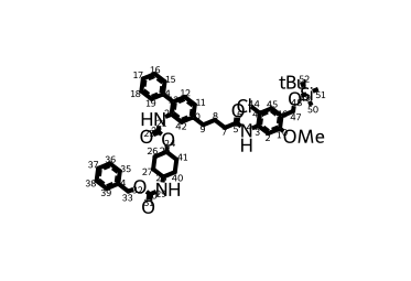 COc1cc(NC(=O)CCCc2ccc(-c3ccccc3)c(NC(=O)OC3CCC(NC(=O)OCc4ccccc4)CC3)c2)c(Cl)cc1CO[Si](C)(C)C(C)(C)C